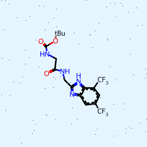 CC(C)(C)OC(=O)NCC(=O)NCc1nc2cc(C(F)(F)F)cc(C(F)(F)F)c2[nH]1